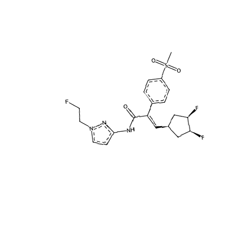 CS(=O)(=O)c1ccc(/C(=C\[C@H]2C[C@@H](F)[C@@H](F)C2)C(=O)Nc2ccn(CCF)n2)cc1